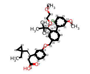 CCC1(C[C@H](CC(=O)O)c2cccc(OCc3ccc(-c4cc(OC)ccc4F)c([C@H](OCCOC)C(C)(C)C)c3)c2)CC1